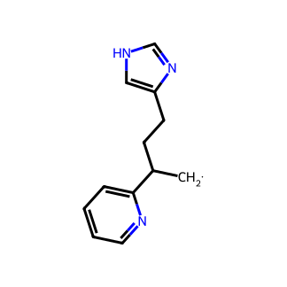 [CH2]C(CCc1c[nH]cn1)c1ccccn1